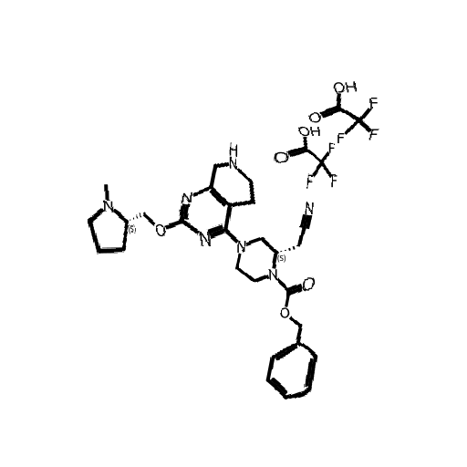 CN1CCC[C@H]1COc1nc2c(c(N3CCN(C(=O)OCc4ccccc4)[C@@H](CC#N)C3)n1)CCNC2.O=C(O)C(F)(F)F.O=C(O)C(F)(F)F